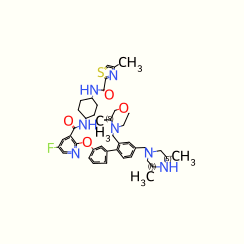 Cc1csc(C(=O)N[C@H]2CC[C@H](NC(=O)c3cc(F)cnc3Oc3cccc(-c4ccc(CN5C[C@@H](C)N[C@@H](C)C5)cc4CN4CCOC[C@@H]4C)c3)CC2)n1